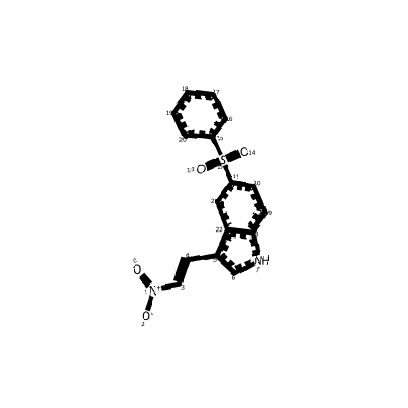 O=[N+]([O-])/C=C/c1c[nH]c2ccc(S(=O)(=O)c3ccccc3)cc12